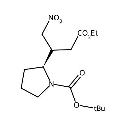 CCOC(=O)CC(C[N+](=O)[O-])[C@@H]1CCCN1C(=O)OC(C)(C)C